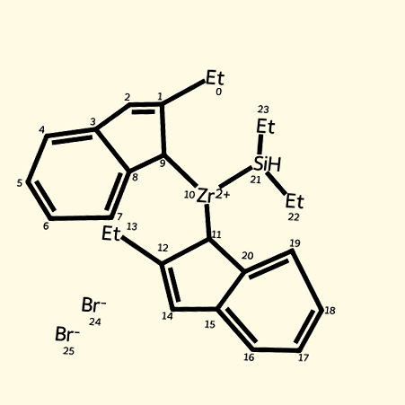 CCC1=Cc2ccccc2[CH]1[Zr+2]([CH]1C(CC)=Cc2ccccc21)[SiH](CC)CC.[Br-].[Br-]